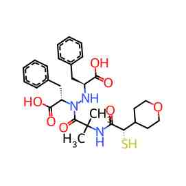 CC(C)(NC(=O)[C@@H](S)C1CCOCC1)C(=O)N(N[C@@H](Cc1ccccc1)C(=O)O)[C@@H](Cc1ccccc1)C(=O)O